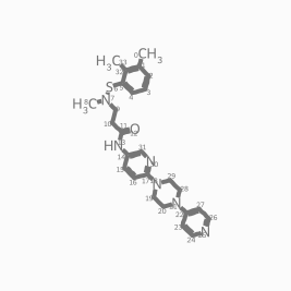 Cc1cccc(SN(C)CCC(=O)Nc2ccc(N3CCN(c4ccncc4)CC3)nc2)c1C